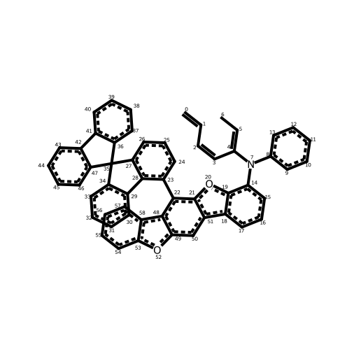 C=C/C=C\C(=C/C)N(c1ccccc1)c1cccc2c1oc1c(-c3cccc4c3-c3ccccc3C43c4ccccc4-c4ccccc43)c3c(cc12)oc1ccccc13